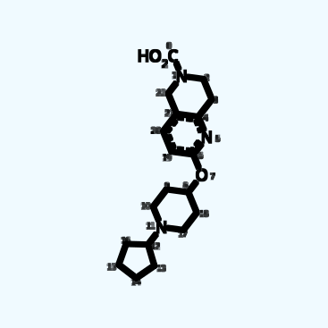 O=C(O)N1CCc2nc(OC3CCN(C4CCCC4)CC3)ccc2C1